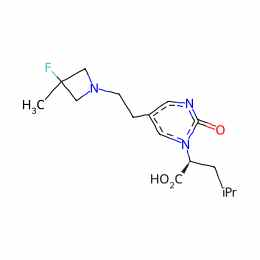 CC(C)C[C@@H](C(=O)O)n1cc(CCN2CC(C)(F)C2)cnc1=O